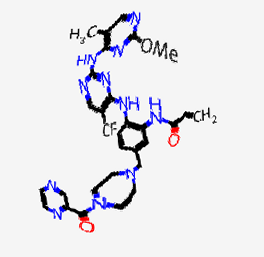 C=CC(=O)Nc1cc(CN2CCN(C(=O)c3cnccn3)CC2)ccc1Nc1nc(Nc2nc(OC)ncc2C)ncc1C(F)(F)F